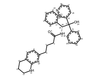 O=C(CCCc1ccc2c(n1)NCCC2)N[C@H](c1ccccc1)C(O)(c1cccnc1)c1cccnc1